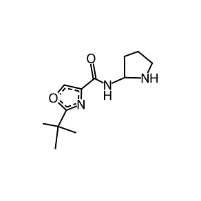 CC(C)(C)c1nc(C(=O)NC2CCCN2)co1